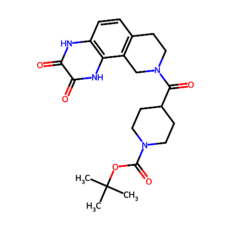 CC(C)(C)OC(=O)N1CCC(C(=O)N2CCc3ccc4[nH]c(=O)c(=O)[nH]c4c3C2)CC1